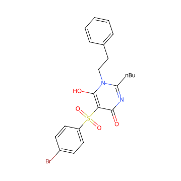 CCCCc1nc(=O)c(S(=O)(=O)c2ccc(Br)cc2)c(O)n1CCc1ccccc1